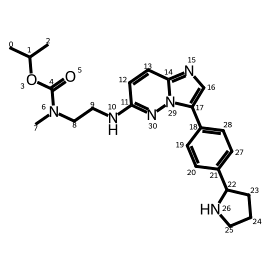 CC(C)OC(=O)N(C)CCNc1ccc2ncc(-c3ccc(C4CCCN4)cc3)n2n1